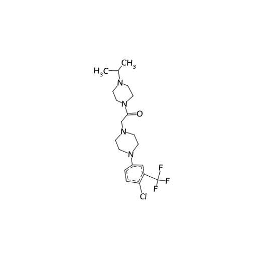 CC(C)N1CCN(C(=O)CN2CCN(c3ccc(Cl)c(C(F)(F)F)c3)CC2)CC1